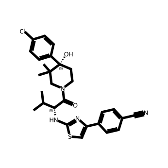 CC(C)[C@@H](Nc1nc(-c2ccc(C#N)cc2)cs1)C(=O)N1CC[C@](O)(c2ccc(Cl)cc2)C(C)(C)C1